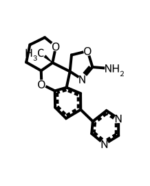 C[C@]12OCCCC1Oc1ccc(-c3cncnc3)cc1C21COC(N)=N1